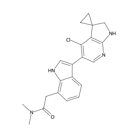 CN(C)C(=O)Cc1cccc2c(-c3cnc4c(c3Cl)C3(CC3)CN4)c[nH]c12